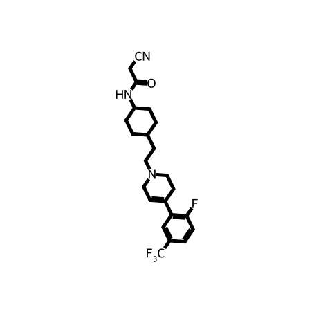 N#CCC(=O)NC1CCC(CCN2CC=C(c3cc(C(F)(F)F)ccc3F)CC2)CC1